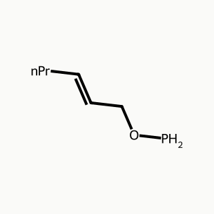 CCC/C=C/COP